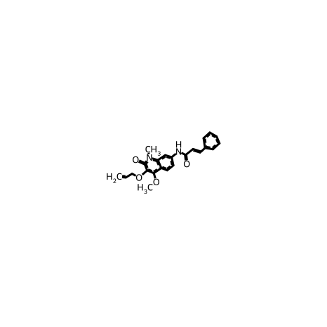 C=CCOc1c(OC)c2ccc(NC(=O)/C=C/c3ccccc3)cc2n(C)c1=O